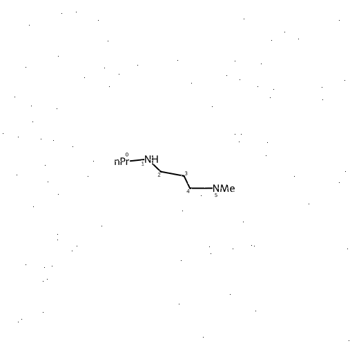 [CH2]CCNCCCNC